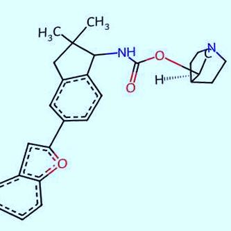 CC1(C)Cc2cc(-c3cc4ccccc4o3)ccc2C1NC(=O)O[C@H]1CN2CCC1CC2